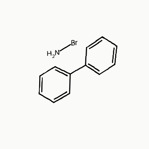 NBr.c1ccc(-c2ccccc2)cc1